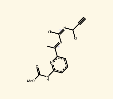 C#CC(Cl)/N=C(Cl)\N=C(/C)c1cccc(NC(=O)OC)n1